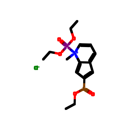 CCOS(=O)C1=CC2=CC=C[N+](C)(P(=O)(OCC)OCC)C2=C1.[Cl-]